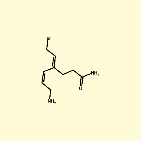 NC/C=C\C(=C/CBr)CCC(N)=O